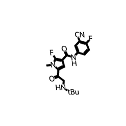 Cn1c(C(=O)CNC(C)(C)C)cc(C(=O)Nc2ccc(F)c(C#N)c2)c1F